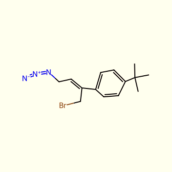 CC(C)(C)c1ccc(C(=CCN=[N+]=[N-])CBr)cc1